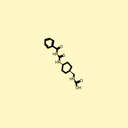 O=C(O)NC[C@H]1CC[C@H](NC(=S)NC(=O)c2ccccc2)CC1